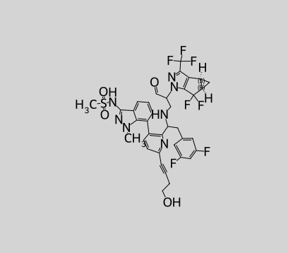 Cn1nc(NS(C)(=O)=O)c2cccc(-c3ccc(C#CCCO)nc3C(Cc3cc(F)cc(F)c3)NCC(C=O)n3nc(C(F)(F)F)c4c3C(F)(F)[C@@H]3C[C@H]43)c21